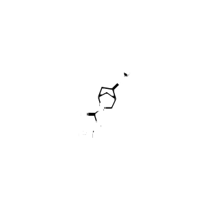 CC(C)(C)OC(=O)N1CC2CC1CC2=C=O